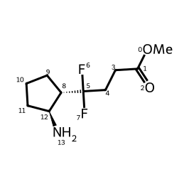 COC(=O)CCC(F)(F)[C@H]1CCC[C@@H]1N